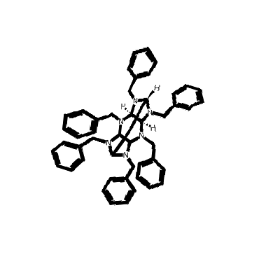 c1ccc(CN2C3C4N(Cc5ccccc5)C2[C@H]2N(Cc5ccccc5)[C@H]([C@@H](N4Cc4ccccc4)N2Cc2ccccc2)N3Cc2ccccc2)cc1